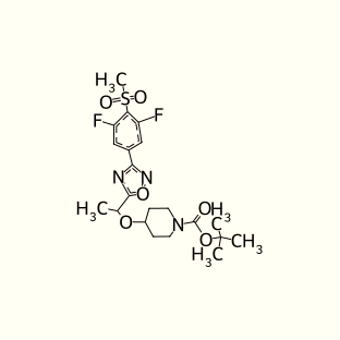 CC(OC1CCN(C(=O)OC(C)(C)C)CC1)c1nc(-c2cc(F)c(S(C)(=O)=O)c(F)c2)no1